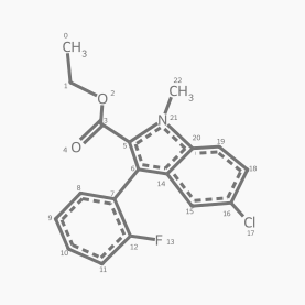 CCOC(=O)c1c(-c2ccccc2F)c2cc(Cl)ccc2n1C